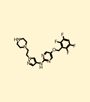 Fc1cc(F)c(F)c(COc2cnc(Nc3cnn(CCN4CCNCC4)c3)nc2)c1F